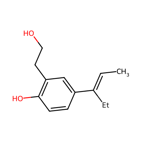 CC=C(CC)c1ccc(O)c(CCO)c1